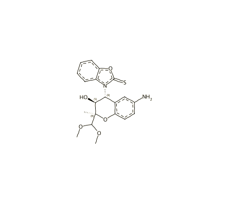 COC(OC)[C@]1(C)Oc2ccc(N)cc2[C@@H](n2c(=S)oc3ccccc32)[C@@H]1O